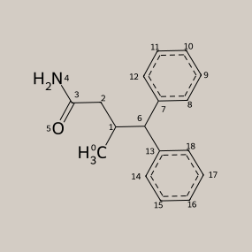 CC(CC(N)=O)C(c1ccccc1)c1ccccc1